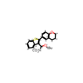 CC(C)(C)OC(C(=O)O)c1c(-c2ccc3c(c2)CCCO3)sc2ccccc12